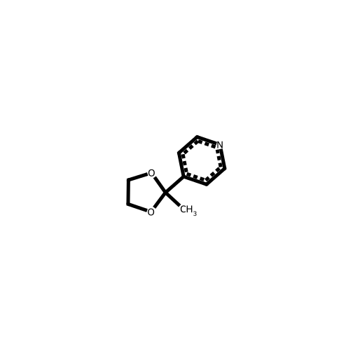 CC1(c2ccncc2)OCCO1